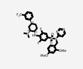 COc1ccc(CN(c2ccncn2)S(=O)(=O)c2cc(F)c(N[C@H]3CC[C@H](c4cccc(C(F)(F)F)c4)C[C@@H]3N(C)C)c(F)c2)c(OC)c1